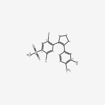 Cc1ccc(C2=C(c3cc(F)c(S(N)(=O)=O)cc3F)CCC2)cc1Cl